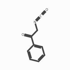 O=C=NCC(=O)c1ccccc1